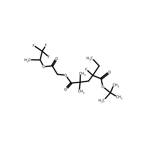 CCC(F)(CC(C)(C)C(=O)OCC(=O)OC(C)C(F)(F)F)C(=O)OC(C)(C)C